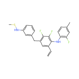 C=Cc1cc(Cc2cccc(NSC)c2)c(F)c(F)c1Nc1ccc(C)cc1F